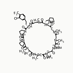 CC[C@H](C)[C@@H]1NC(=O)[C@H](CC(C)C)N(C)C(=O)C[C@@H](C)NC(=O)[C@H](C(C)C)N(C)C(=O)C2(CCCC2)NC(=O)[C@@H]2CCCN2C(=O)[C@H](CCc2ccc(C(F)(F)F)c(Cl)c2)NC(=O)CN(C)C(=O)[C@H](CC2CCCC2)N(C)C(=O)CN(C)C(=O)CN(C)C1=O